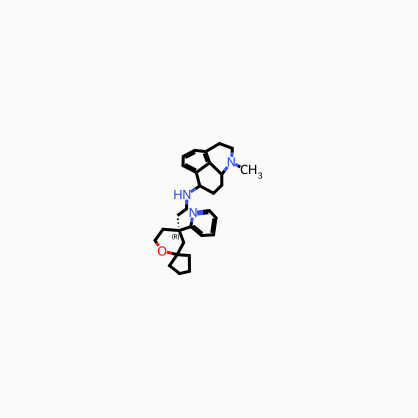 CN1CCc2cccc3c2C1CCC3NCC[C@@]1(c2ccccn2)CCOC2(CCCC2)C1